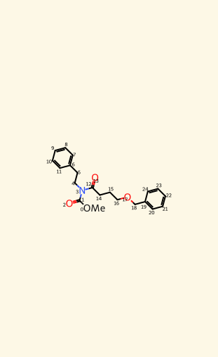 COC(=O)N(CCc1ccccc1)C(=O)CCCOCc1ccccc1